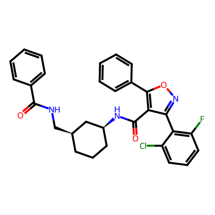 O=C(NC[C@@H]1CCC[C@H](NC(=O)c2c(-c3c(F)cccc3Cl)noc2-c2ccccc2)C1)c1ccccc1